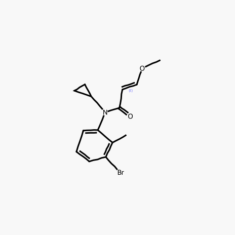 CO/C=C/C(=O)N(c1cccc(Br)c1C)C1CC1